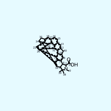 CN1C(C(=O)O)C2c3cc4c5c6c(cc7ccc8cc9c%10c%11c%12c(c3c5c%12c3c%10c8c7c63)=C(CC%11C9)C2C1(C)C)C4